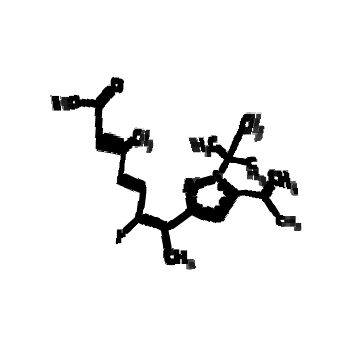 CC(/C=C/C(F)=C(/C)c1cc(C(C)C)n(C(C)(C)C)n1)=C\C(=O)O